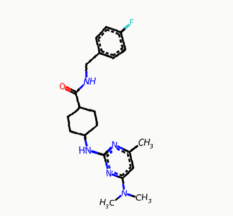 Cc1cc(N(C)C)nc(NC2CCC(C(=O)NCc3ccc(F)cc3)CC2)n1